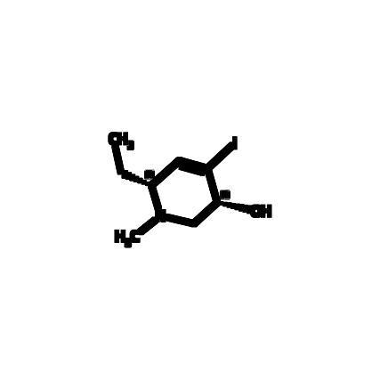 CC[C@@H]1C=C(I)[C@H](O)CN1C